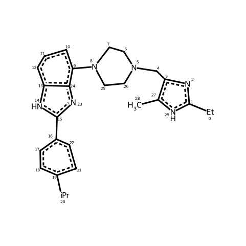 CCc1nc(CN2CCN(c3cccc4[nH]c(-c5ccc(C(C)C)cc5)nc34)CC2)c(C)[nH]1